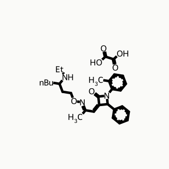 CCCCC(CCON=C(C)C=C1C(=O)N(c2ccccc2C)C1c1ccccc1)NCC.O=C(O)C(=O)O